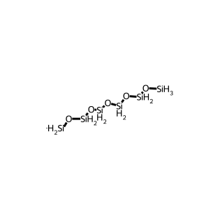 [SiH2]O[SiH2]O[SiH2]O[SiH2]O[SiH2]O[SiH3]